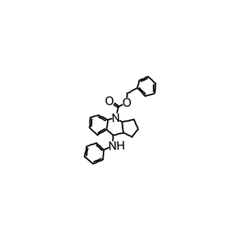 O=C(OCc1ccccc1)N1c2ccccc2C(Nc2ccccc2)C2CCCC21